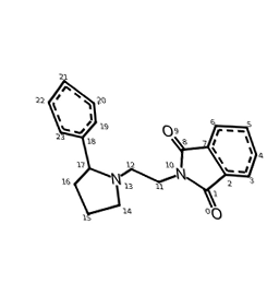 O=C1c2ccccc2C(=O)N1CCN1CCCC1c1c[c]ccc1